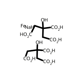 O=C(O)CC(O)(CC(=O)O)C(=O)O.O=C(O)CC(O)(CC(=O)O)C(=O)O.[Fe].[NaH]